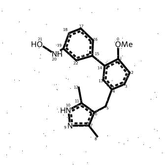 COc1ccc(Cc2c(C)n[nH]c2C)cc1-c1cccc(NO)c1